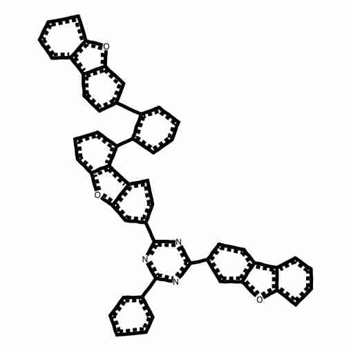 c1ccc(-c2nc(-c3ccc4c(c3)oc3ccccc34)nc(-c3ccc4c(c3)oc3cccc(-c5ccccc5-c5ccc6c(c5)oc5ccccc56)c34)n2)cc1